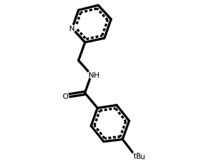 CC(C)(C)c1ccc(C(=O)NCc2ccccn2)cc1